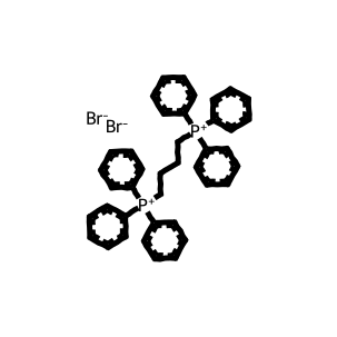 [Br-].[Br-].c1ccc([P+](CCCC[P+](c2ccccc2)(c2ccccc2)c2ccccc2)(c2ccccc2)c2ccccc2)cc1